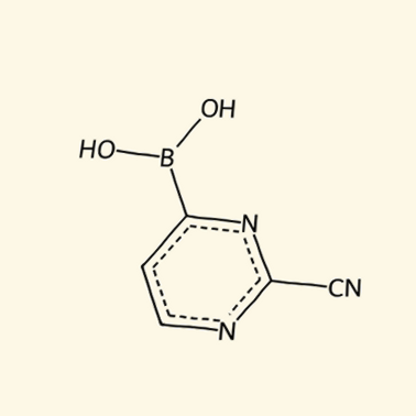 N#Cc1nccc(B(O)O)n1